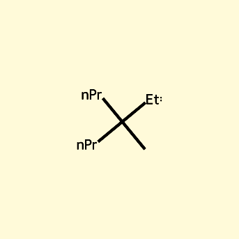 C[C]C(C)(CCC)CCC